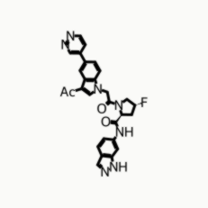 CC(=O)c1cn(CC(=O)N2C[C@H](F)C[C@H]2C(=O)Nc2ccc3cn[nH]c3c2)c2ccc(-c3ccnnc3)cc12